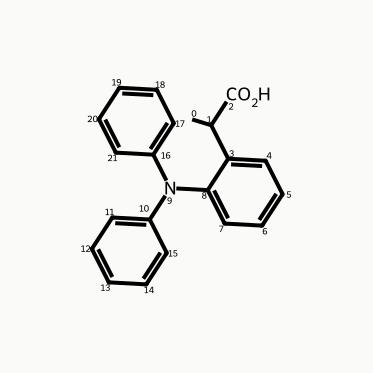 CC(C(=O)O)c1ccccc1N(c1ccccc1)c1ccccc1